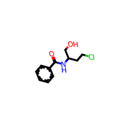 O=C(NC(CO)CCCl)c1ccccc1